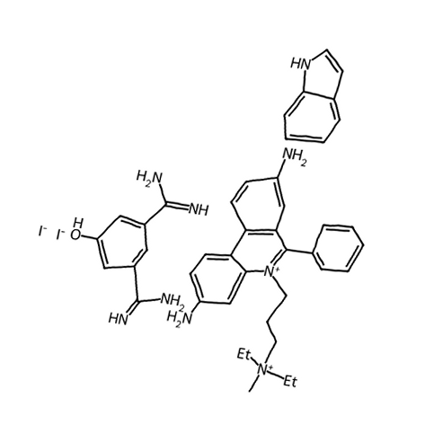 CC[N+](C)(CC)CCC[n+]1c(-c2ccccc2)c2cc(N)ccc2c2ccc(N)cc21.N=C(N)c1cc(O)cc(C(=N)N)c1.[I-].[I-].c1ccc2[nH]ccc2c1